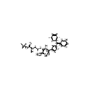 CC(C)(C)OC(=O)NCCC[C@H](NC(=O)c1ccc(C(c2ccccc2)c2ccccc2)s1)C(=O)O